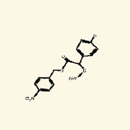 O=[C]OC(C(=O)OCc1ccc([N+](=O)[O-])cc1)c1ccc(Br)cc1